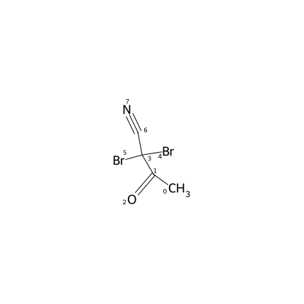 CC(=O)C(Br)(Br)C#N